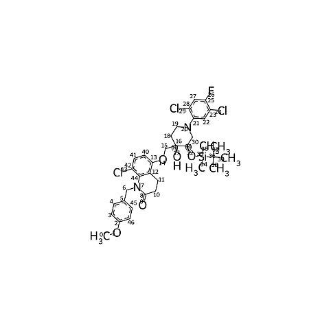 COc1ccc(CN2C(=O)CCc3c(OC[C@]4(O)CCN(c5cc(Cl)c(F)cc5Cl)C[C@H]4O[Si](C)(C)C(C)(C)C)ccc(Cl)c32)cc1